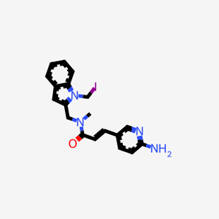 CN(Cc1cc2ccccc2n1CI)C(=O)/C=C/c1ccc(N)nc1